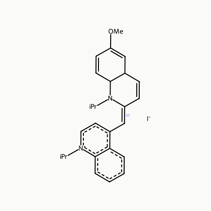 COC1=CC2C=C/C(=C/c3cc[n+](C(C)C)c4ccccc34)N(C(C)C)C2C=C1.[I-]